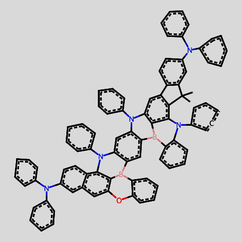 CC1(C)c2cc(N(c3ccccc3)c3ccccc3)ccc2-c2cc3c4c(c21)N(c1ccccc1)c1ccccc1B4c1cc2c(cc1N3c1ccccc1)N(c1ccccc1)c1c3c(cc4cc(N(c5ccccc5)c5ccccc5)ccc14)Oc1ccccc1B23